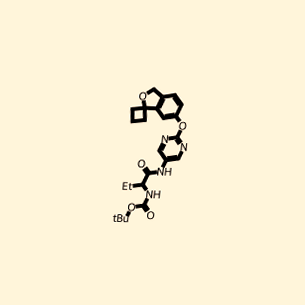 CCC(NC(=O)OC(C)(C)C)C(=O)Nc1cnc(Oc2ccc3c(c2)C2(CCC2)OC3)nc1